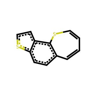 C1=CSc2c(ccc3sccc23)C=C1